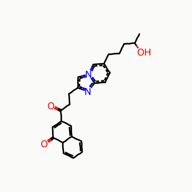 CC(O)CCCc1ccc2nc(CCC(=O)C3=CC(=O)C4C=CC=CC4=C3)cn2c1